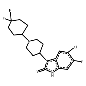 O=c1[nH]c2cc(F)c(Cl)cc2n1C1CCN(C2CCC(F)(F)CC2)CC1